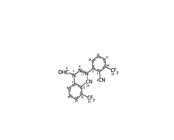 N#Cc1c(/N=N/N(C=O)c2cccc(C(F)(F)F)c2C#N)cccc1C(F)(F)F